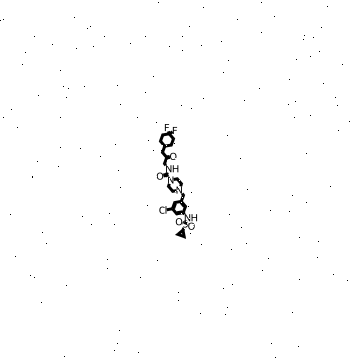 O=C(CNC(=O)N1CCN(Cc2cc(Cl)cc(NS(=O)(=O)C3CC3)c2)CC1)CC1CCC(F)(F)CC1